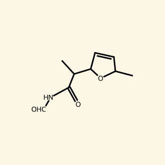 CC1C=CC(C(C)C(=O)NC=O)O1